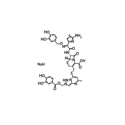 CC1=NC2=CN(COC(=O)c3ccc(O)c(O)c3)NN2C(SCC2=C(C(=O)O)N3C(=O)[C@@H](NC(=O)C(=NOCc4ccc(O)c(O)c4)c4csc(N)n4)[C@H]3SC2)=C1.[NaH]